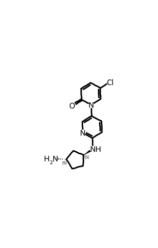 N[C@H]1CC[C@H](Nc2ccc(-n3cc(Cl)ccc3=O)cn2)C1